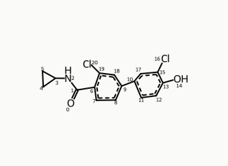 O=C(NC1CC1)c1ccc(-c2ccc(O)c(Cl)c2)cc1Cl